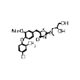 COc1cc(C=C2SC(N(C)CC(O)CO)=NC2=O)ccc1Oc1ccc(Cl)cc1C(F)(F)F